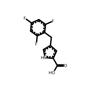 O=C(O)c1cc(Cc2c(F)cc(F)cc2F)c[nH]1